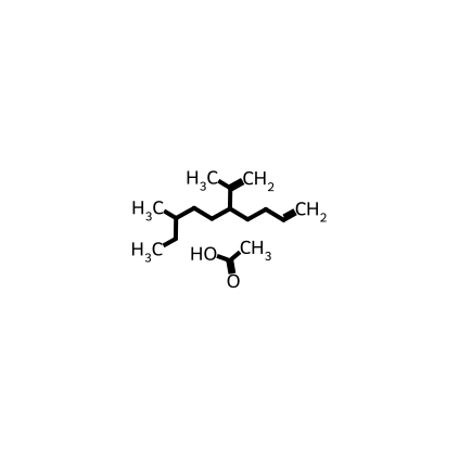 C=CCCC(CCC(C)CC)C(=C)C.CC(=O)O